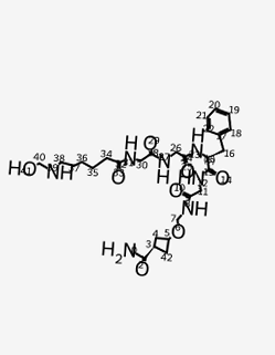 NC(=O)[C@H]1C[C@@H](OCNC(=O)CNC(=O)[C@H](Cc2ccccc2)NC(=O)CNC(=O)CNC(=O)CCCCCNCO)C1